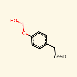 CCCCCCc1ccc(OBO)cc1